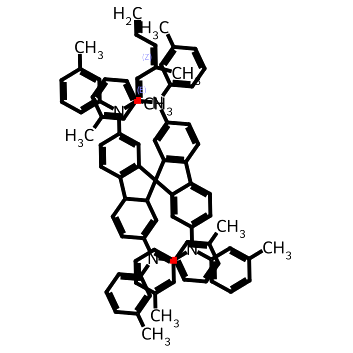 C=C/C=C(C)\C=C(/C)N(c1cccc(C)c1)c1ccc2c(c1)C1(c3cc(N(c4cccc(C)c4)c4cccc(C)c4)ccc3-c3ccc(N(c4cccc(C)c4)c4cccc(C)c4)cc31)C1C=C(N(c3cccc(C)c3)c3cccc(C)c3)C=CC21